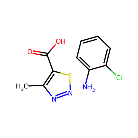 Cc1nnsc1C(=O)O.Nc1ccccc1Cl